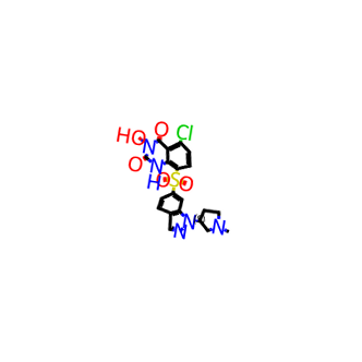 CN1CC[C@H](n2ncc3ccc(S(=O)(=O)c4ccc(Cl)c5c(=O)n(O)c(=O)[nH]c45)cc32)C1